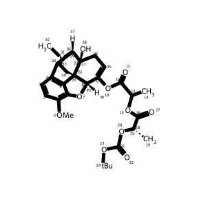 COc1ccc2c3c1O[C@H]1C(OC(=O)C(C)OC(=O)[C@H](C)OC(=O)OC(C)(C)C)=CC[C@@]4(O)[C@@H](C2)N(C)CC[C@]314